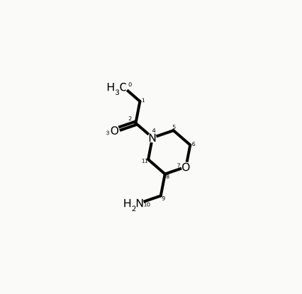 CCC(=O)N1CCOC(CN)C1